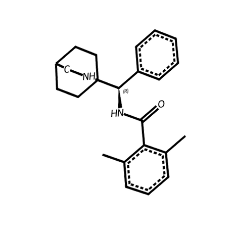 Cc1cccc(C)c1C(=O)N[C@H](c1ccccc1)C12CCC(CC1)CN2